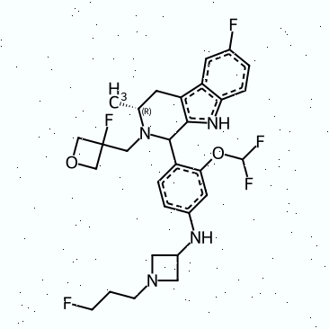 C[C@@H]1Cc2c([nH]c3ccc(F)cc23)C(c2ccc(NC3CN(CCCF)C3)cc2OC(F)F)N1CC1(F)COC1